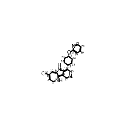 ClC1=CCNc2c3c([nH]c2=C1)=C([C@H]1CC[C@H](Oc2ccccn2)CC1)N=NC3